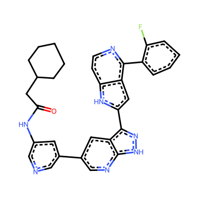 O=C(CC1CCCCC1)Nc1cncc(-c2cnc3[nH]nc(-c4cc5c(-c6ccccc6F)nccc5[nH]4)c3c2)c1